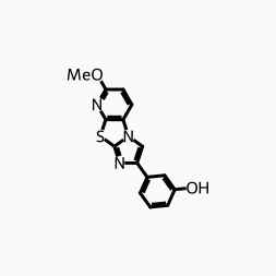 COc1ccc2c(n1)sc1nc(-c3cccc(O)c3)cn12